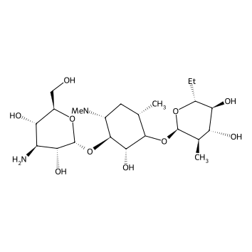 CC[C@H]1O[C@H](OC2[C@@H](C)C[C@@H](NC)[C@H](O[C@H]3O[C@H](CO)[C@@H](O)[C@H](N)[C@H]3O)[C@H]2O)[C@H](C)[C@@H](O)[C@@H]1O